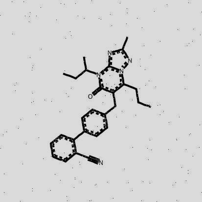 CCCc1c(Cc2ccc(-c3ccccc3C#N)cc2)c(=O)n(C(C)CC)c2nc(C)nn12